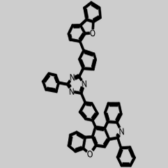 c1ccc(-c2nc(-c3ccc(-c4c5c(cc6c(-c7ccccc7)nc7ccccc7c46)oc4ccccc45)cc3)nc(-c3cccc(-c4cccc5c4oc4ccccc45)c3)n2)cc1